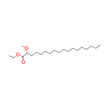 CCCCCCCCCCCCCCCCC(OC)C(=O)OCC